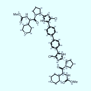 COC(=O)NC(C(=O)N1CCC[C@H]1c1nc(Cl)c(-c2ccc(-c3ccc(-c4[nH]c([C@@H]5CCCN5C(=O)[C@@H](NC(=O)OC)C5CCOCC5)nc4Cl)cc3)cc2)[nH]1)C1CCOCC1